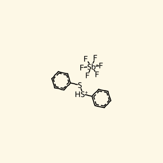 [F][Sb-]([F])([F])([F])([F])[F].c1ccc(S[SH+]c2ccccc2)cc1